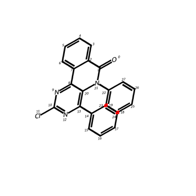 O=c1c2ccccc2c2nc(Cl)nc(-c3ccccc3)c2n1-c1ccccc1